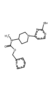 CN(C(=O)OCc1ccccc1)C1CCN(c2ccnc(C(C)(C)C)n2)CC1